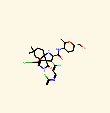 C=C(Cl)/N=C\C=C(/F)[C@H]1[C@H](C(=O)N[C@@H]2CC[C@@H](CO)O[C@@H]2C)NC2(CCC(C)(C)CC2)[C@@]12C(=O)Nc1cc(Cl)ccc12